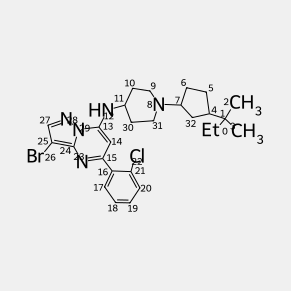 CCC(C)(C)C1CCC(N2CCC(Nc3cc(-c4ccccc4Cl)nc4c(Br)cnn34)CC2)C1